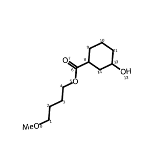 COCCCCOC(=O)C1CCCC(O)C1